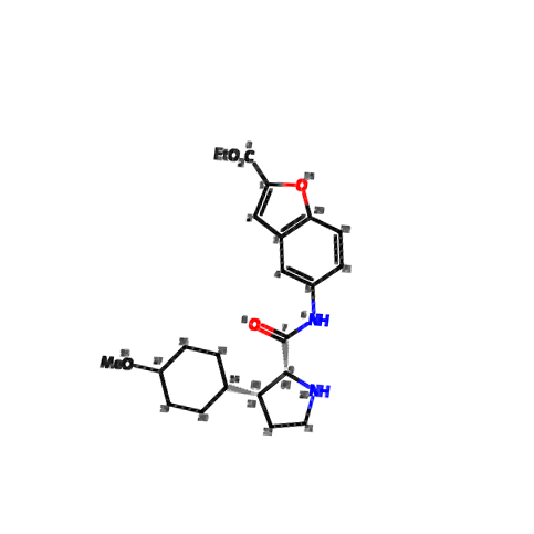 CCOC(=O)c1cc2cc(NC(=O)[C@@H]3NCC[C@@H]3C3CCC(OC)CC3)ccc2o1